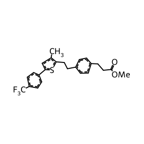 COC(=O)CCc1ccc(CCc2sc(-c3ccc(C(F)(F)F)cc3)cc2C)cc1